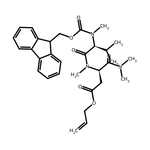 C=CCOC(=O)C[C@H](C(=O)N(C)C)N(C)C(=O)[C@H](C(C)C)N(C)C(=O)OCC1c2ccccc2-c2ccccc21